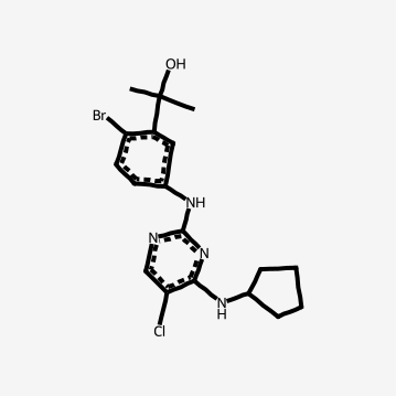 CC(C)(O)c1cc(Nc2ncc(Cl)c(NC3CCCC3)n2)ccc1Br